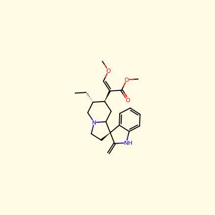 C=C1Nc2ccccc2[C@]12CCN1C[C@H](CC)[C@@H](C(=COC)C(=O)OC)CC12